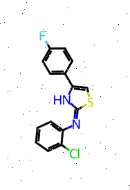 Fc1ccc(-c2csc(=Nc3ccccc3Cl)[nH]2)cc1